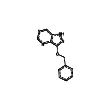 c1ccc(COc2n[nH]c3cncnc23)cc1